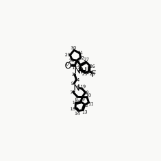 O=C(NCCCN1CCC2(CCc3ccccc32)CC1)C1(c2ccc(F)cc2)CCCCC1